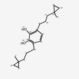 CC1(CCCc2ccc(CCCC3(C)CC3)c(O)c2O)CC1